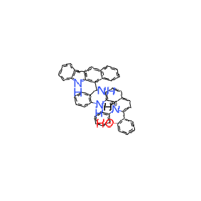 N=C(c1ccccc1NC1=CC=CC2=CC=C(c3ccccc3O)N(c3ccccc3)[C@H]21)c1c2ccccc2cc2c1[nH]c1ccccc12